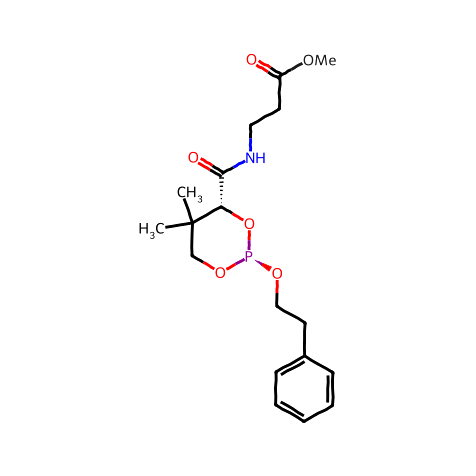 COC(=O)CCNC(=O)[C@@H]1O[P@@](OCCc2ccccc2)OCC1(C)C